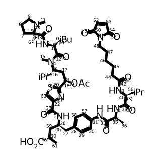 CC[C@H](C)[C@H](NC(=O)[C@@]1(C)CCCN1C)C(=O)N(C)[C@H](C[C@@H](OC(C)=O)c1nc(C(=O)N[C@@H](Cc2ccc(NC(=O)[C@H](C)NC(=O)[C@@H](NC(=O)CCCCCN3C(=O)C=CC3=O)C(C)C)cc2)C[C@H](C)C(=O)O)cs1)C(C)C